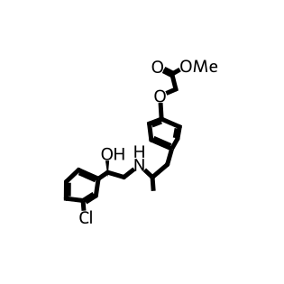 COC(=O)COc1ccc(CC(C)NC[C@H](O)c2cccc(Cl)c2)cc1